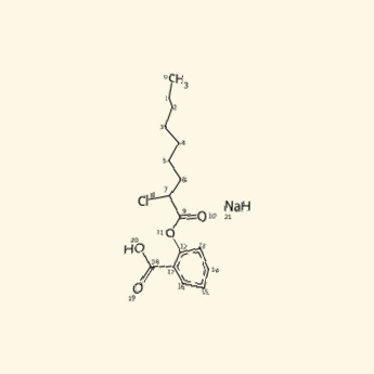 CCCCCCCC(Cl)C(=O)Oc1ccccc1C(=O)O.[NaH]